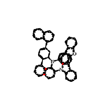 C1=C(c2cccc3ccccc23)CC(N(c2ccc3oc4ccccc4c3c2)c2ccccc2-n2c3ccccc3c3ccccc32)C(c2ccccc2)=C1